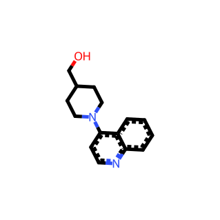 OCC1CCN(c2ccnc3ccccc23)CC1